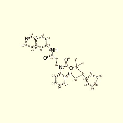 CC(C)(C)OC(=O)N(CCC(=O)Nc1ccc2cnccc2c1)c1ccccc1OCCc1ccccc1